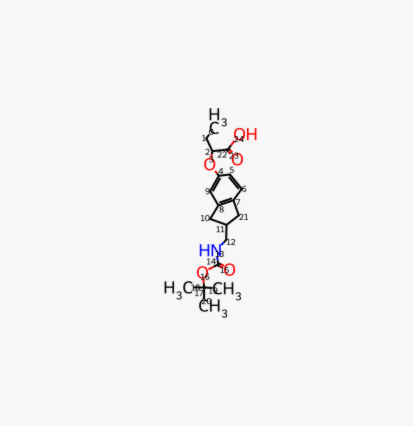 CCC(Oc1ccc2c(c1)CC(CNC(=O)OC(C)(C)C)C2)C(=O)O